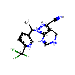 CC(c1ccc(C(F)(F)F)nc1)n1nc(C#N)c2c1N=CNC2